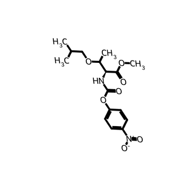 COC(=O)[C@@H](NC(=O)Oc1ccc([N+](=O)[O-])cc1)C(C)OCC(C)C